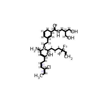 C=CC(F)(F)CCCC1NC(C/C=C\C(Cl)=C/C)=CC(N)N1CCC1=CC(C(=O)NCC(CO)CO)CC=C1